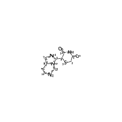 O=C1CSC(c2ncc3ccncn23)C(=O)N1